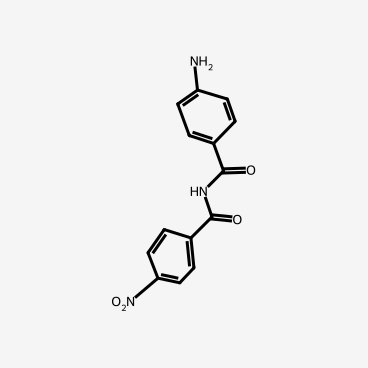 Nc1ccc(C(=O)NC(=O)c2ccc([N+](=O)[O-])cc2)cc1